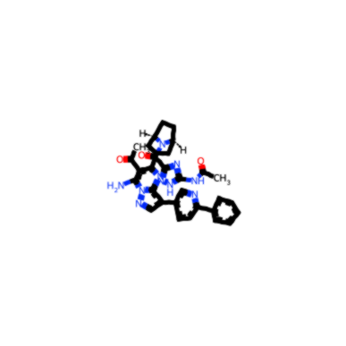 CC(=O)Nc1nc(C(=O)N2[C@@H]3CC[C@H]2CC(c2nc4c(-c5ccc(-c6ccccc6)nc5)cnn4c(N)c2C(C)=O)C3)n[nH]1